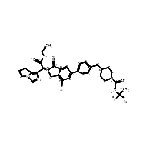 CCOC(=O)C(c1ncn2c1CCC2)N1Cc2c(F)cc(-c3ccc(CC4CCN(C(=O)OC(C)(C)C)CC4)cc3)cc2C1=O